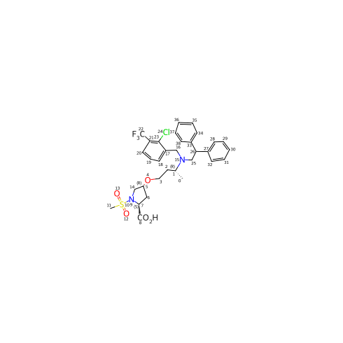 C[C@H](CCO[C@@H]1C[C@@H](C(=O)O)N(S(C)(=O)=O)C1)N(Cc1cccc(C(F)(F)F)c1Cl)CC(c1ccccc1)c1ccccc1